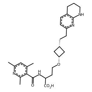 Cc1cc(C)c(C(=O)NC(CCO[C@H]2C[C@@H](CCc3ccc4c(n3)NCCC4)C2)C(=O)O)c(C)n1